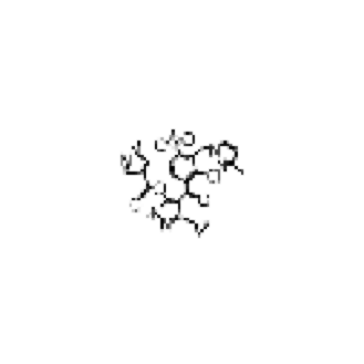 Cc1ccn(Cc2c(S(C)(=O)=O)ccc(C(=O)c3c(C4CC4)nn(C)c3OC(=O)c3cnn(C)c3)c2Cl)n1